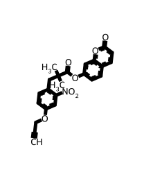 C#CCOc1ccc(CC(C)(C)C(=O)Oc2ccc3ccc(=O)oc3c2)c([N+](=O)[O-])c1